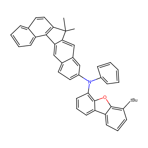 CC(C)(C)c1cccc2c1oc1c(N(c3ccccc3)c3ccc4cc5c(cc4c3)C(C)(C)c3ccc4ccccc4c3-5)cccc12